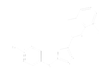 Cc1cccc(C)c1CCc1nnc(Cc2ccc(Br)cc2)o1